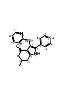 CC1CC(=O)c2c([nH]c(-c3ccncc3)c2Nc2ccccn2)C1